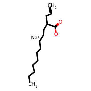 C=CCC(CCCCCCCCCC)C(=O)[O-].[Na+]